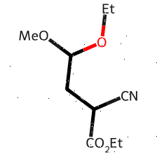 CCOC(=O)C(C#N)CC(OC)OCC